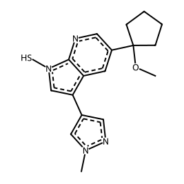 COC1(c2cnc3c(c2)c(-c2cnn(C)c2)cn3S)CCCC1